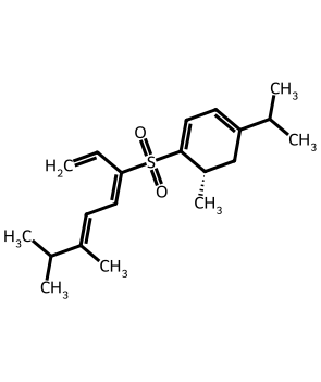 C=C/C(=C\C=C(/C)C(C)C)S(=O)(=O)C1=CC=C(C(C)C)C[C@@H]1C